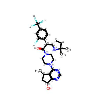 C[C@@H]1C[C@@H](O)c2ncnc(N3CCN(C(=O)[C@@H](c4ccc(C(F)(F)F)cc4F)[C@@H]4CCC(C)(C)N4)CC3)c21